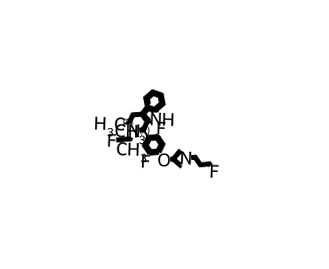 C[C@@H]1Cc2c([nH]c3ccccc23)[C@@H](c2cc(F)c(OC3CN(CCCF)C3)cc2F)N1CC(C)(C)F